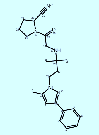 Cc1cc(-c2ccccc2)nn1CCC(C)(C)NCC(=O)N1CCCC1C#N